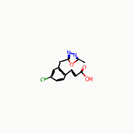 Cc1nnc(Cc2cc(Cl)ccc2/C=C/C(=O)O)o1